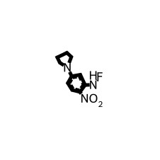 O=[N+]([O-])c1ccc(N2CCCC2)cc1NF